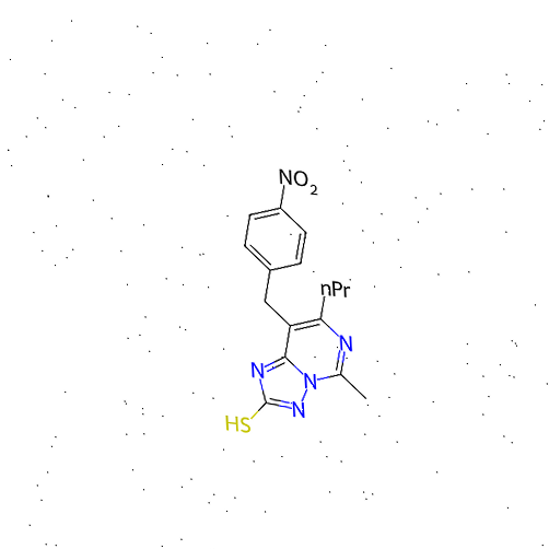 CCCc1nc(C)n2nc(S)nc2c1Cc1ccc([N+](=O)[O-])cc1